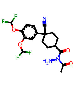 CC(=O)N(N)C(=O)C1CCC(C#N)(c2ccc(OC(F)F)c(OC(F)F)c2)CC1